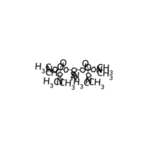 CN(C)c1ccc(C2(c3ccc(N(C)C)cc3)OC(=O)c3cc(-c4ccc(-c5ccc6c(c5)C(=O)OC6(c5ccc(N(C)C)cc5)c5ccc(N(C)C)cc5)c5snnc45)ccc32)cc1